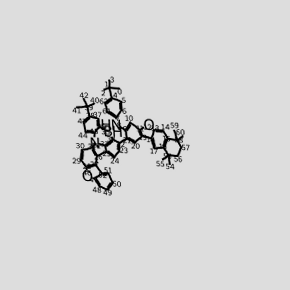 CC(C)(C)c1ccc(Nc2cc3oc4cc5c(cc4c3cc2-c2ccc3c4c6c(ccc4n4c3c2Bc2cc(C(C)(C)C)ccc2-4)oc2ccccc26)C(C)(C)CCC5(C)C)cc1